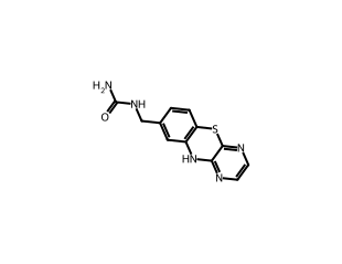 NC(=O)NCc1ccc2c(c1)Nc1nccnc1S2